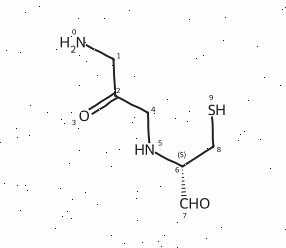 NCC(=O)CN[C@@H](C=O)CS